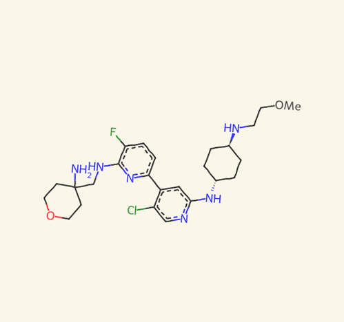 COCCN[C@H]1CC[C@H](Nc2cc(-c3ccc(F)c(NCC4(N)CCOCC4)n3)c(Cl)cn2)CC1